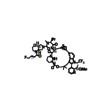 CO[C@@H](C)c1ncccc1-c1c2c3cc(ccc3n1CC(F)(F)F)-c1csc(n1)C[C@H](NC(=O)C(C(C)C)N(C)C(=O)N1C[C@@H]3OCCN(C(=O)/C=C/CF)[C@@H]3C1)C(=O)N1CCC[C@H](N1)C(=O)OCC(C)(C)C2